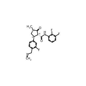 C=NCc1ccc([C@H]2CN(C)C(=O)[C@@H]2C(=O)Nc2cccc(F)c2F)cc1F